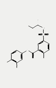 C[C@@H](CO)NS(=O)(=O)c1ccc(F)c(C(=O)Nc2ccc(F)c(F)c2)c1